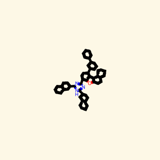 c1ccc(-c2cccc(-c3ccc(C4=NC(c5ccc6ccccc6c5)NC(c5ccc6ccccc6c5)=N4)c4oc5ccc6ccccc6c5c34)c2)cc1